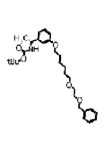 C[C@@H](NC(=O)OC(C)(C)C)c1cccc(OCCCCCCOCCOCc2ccccc2)c1